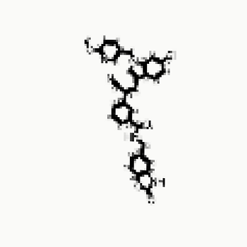 COc1ccc(Cn2cc(C=C(C#N)c3cccc(C(=O)NCc4ccc5oc(=O)[nH]c5c4)c3)c3ccc(Cl)cc32)cn1